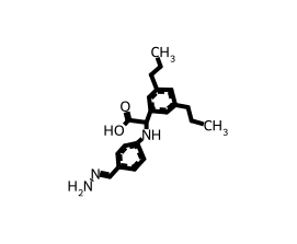 CCCc1cc(CCC)cc(C(Nc2ccc(C=NN)cc2)C(=O)O)c1